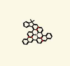 CC1(C)c2ccccc2-c2c(-c3ccccc3N(c3ccccc3-c3ccc4ccccc4c3)c3ccccc3-c3cccc4ccccc34)cccc21